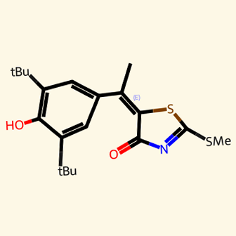 CSC1=NC(=O)/C(=C(/C)c2cc(C(C)(C)C)c(O)c(C(C)(C)C)c2)S1